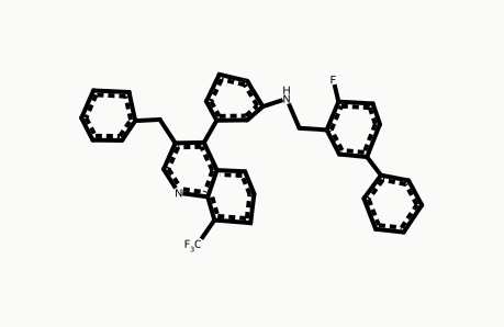 Fc1ccc(-c2ccccc2)cc1CNc1cccc(-c2c(Cc3ccccc3)cnc3c(C(F)(F)F)cccc23)c1